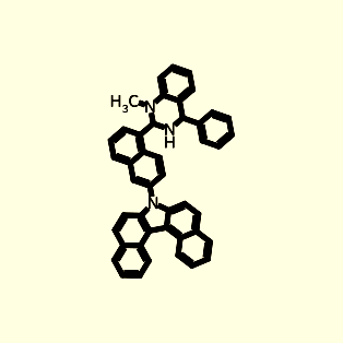 CN1c2ccccc2C(c2ccccc2)NC1c1cccc2cc(-n3c4ccc5ccccc5c4c4c5ccccc5ccc43)ccc12